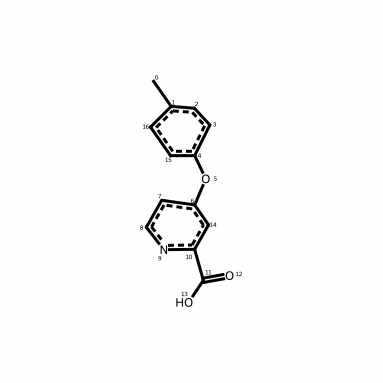 Cc1ccc(Oc2ccnc(C(=O)O)c2)cc1